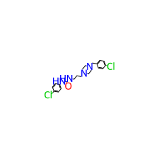 O=C(NCCCN1CCN(Cc2ccc(Cl)cc2)CC1)Nc1ccc(Cl)cc1